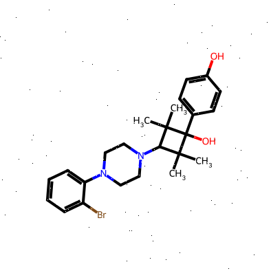 CC1(C)C(N2CCN(c3ccccc3Br)CC2)C(C)(C)C1(O)c1ccc(O)cc1